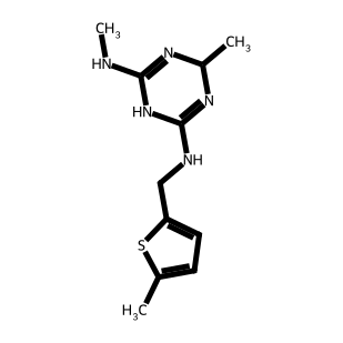 CNC1=NC(C)N=C(NCc2ccc(C)s2)N1